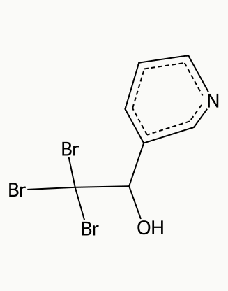 OC(c1cccnc1)C(Br)(Br)Br